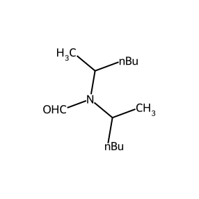 CCCCC(C)N(C=O)C(C)CCCC